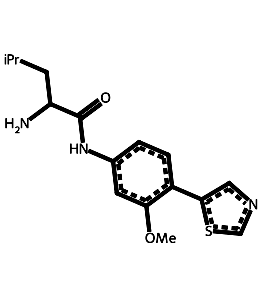 COc1cc(NC(=O)C(N)CC(C)C)ccc1-c1cncs1